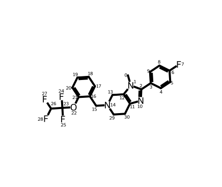 Cn1c(-c2ccc(F)cc2)nc2c1CN(Cc1ccccc1OC(F)(F)C(F)F)CC2